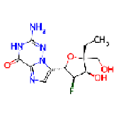 CC[C@]1(CO)O[C@@H](c2cnc3c(=O)[nH]c(N)nn23)[C@H](F)[C@@H]1O